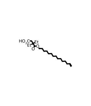 C=CCCCCCCCCCCCCCOC(=O)C(CC)(CC)CC(=O)O